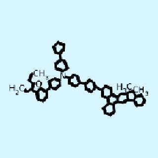 C=Cc1c(/C=C\C)oc2c(-c3ccc(N(c4ccc(-c5ccccc5)cc4)c4ccc(-c5ccc(-c6ccc7c(c6)c6ccccc6c6cc8c(cc76)C(C)(C)c6ccccc6-8)cc5)cc4)cc3)cccc12